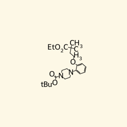 CCOC(=O)C(C)(C)CCOc1ccccc1N1CCN(C(=O)OC(C)(C)C)CC1